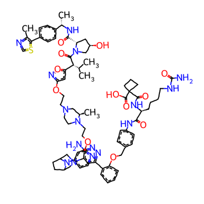 Cc1ncsc1-c1ccc([C@H](C)NC(=O)[C@@H]2C[C@@H](O)CN2C(=O)[C@@H](c2cc(OCCN3CCN(CCOc4cc(N5C6CCC5CN(c5cc(-c7ccccc7OCc7ccc(NC(=O)[C@H](CCCCNC(N)=O)NC(=O)C8(C(=O)O)CCC8)cc7)nnc5N)C6)ccn4)[C@H](C)C3)no2)C(C)C)cc1